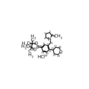 C[C@@H]1CCCN1Cc1cc(B2OC(C)(C)C(C)(C)O2)ccc1C1CCOCC1.Cl